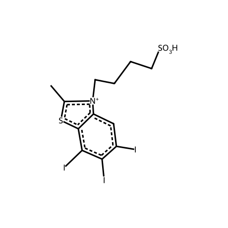 Cc1sc2c(I)c(I)c(I)cc2[n+]1CCCCS(=O)(=O)O